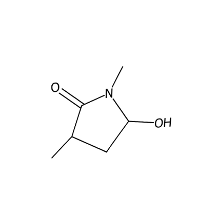 CC1CC(O)N(C)C1=O